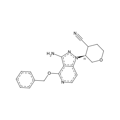 N#CC1CCOC[C@H]1n1nc(N)c2c(OCc3ccccc3)nccc21